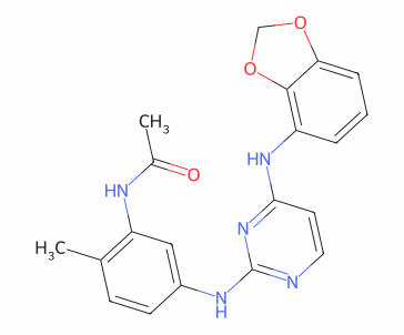 CC(=O)Nc1cc(Nc2nccc(Nc3cccc4c3OCO4)n2)ccc1C